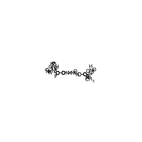 Cn1nc(N2CCC(=O)NC2=O)c2ccc(C3CCN(CC(=O)N4CC5(C4)CN(c4ccc(-c6cc(F)c7c(c6)C(=O)N(C(C(=O)Nc6nccs6)c6ncn8c6CCC8)C7)cc4)C5)CC3)cc21